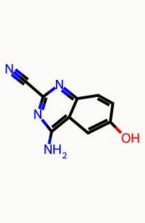 N#Cc1nc(N)c2cc(O)ccc2n1